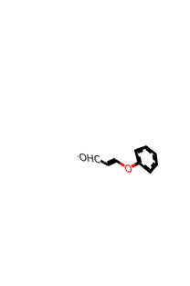 O=[C]C=COc1ccccc1